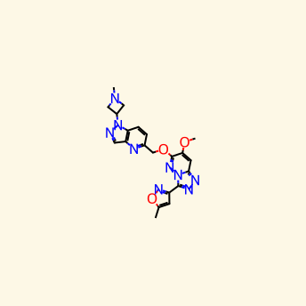 COc1cc2nnc(-c3cc(C)on3)n2nc1OCc1ccc2c(cnn2C2CN(C)C2)n1